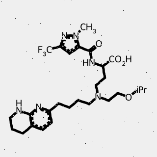 CC(C)OCCN(CCCCc1ccc2c(n1)NCCC2)CCC(NC(=O)c1cc(C(F)(F)F)nn1C)C(=O)O